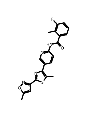 Cc1cc(-c2nc(-c3ccc(NC(=O)c4cccc(F)c4C)nc3)c(C)s2)no1